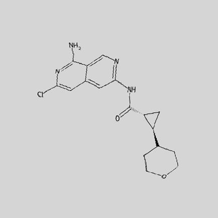 Nc1nc(Cl)cc2cc(NC(=O)[C@@H]3C[C@H]3C3CCOCC3)ncc12